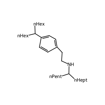 CCCCCCCC(CCCCC)NCCc1ccc(C(CCCCCC)CCCCCC)cc1